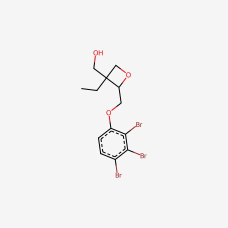 CCC1(CO)COC1COc1ccc(Br)c(Br)c1Br